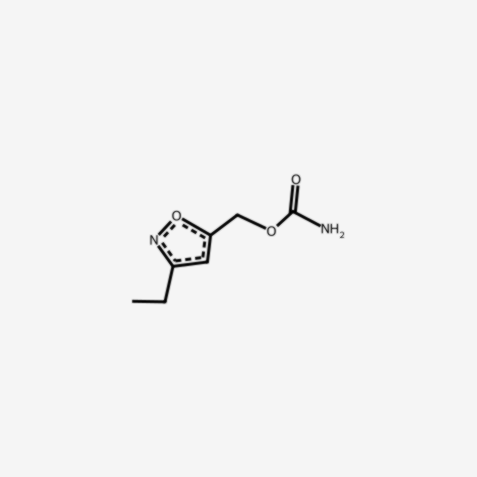 CCc1cc(COC(N)=O)on1